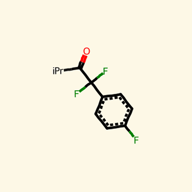 CC(C)C(=O)C(F)(F)c1ccc(F)cc1